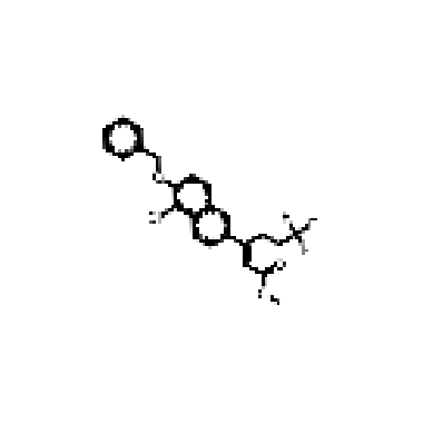 COC(=O)/C=C(\CCC(F)(F)F)c1ccc2c(Cl)c(OCc3ccccc3)ccc2c1